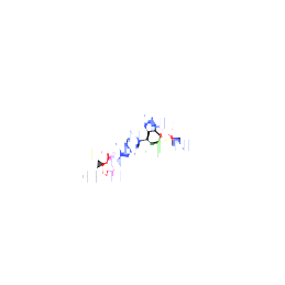 O=CO[C@]1(C(=O)Nc2cn3cc(-c4c(Cl)c(F)c(OC5CNC5)c5[nH]ncc45)ncc3n2)C[C@@H]1F